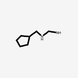 [NH]CNCC1CCCC1